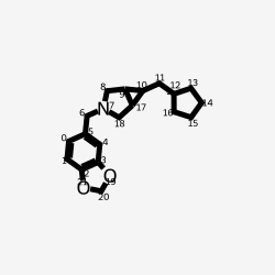 c1cc2c(cc1CN1CC3C(C[C]4CCCC4)C3C1)OCO2